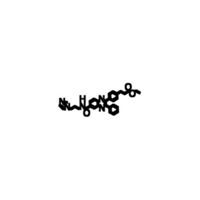 CCOC(=O)CCc1ccc(-c2nc3ccc(C(=O)NCCCn4ccnc4)cc3nc2-c2ccccc2)cc1